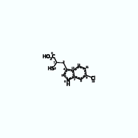 O=C(O)C(S)Cc1c[nH]c2cc(Cl)ccc12